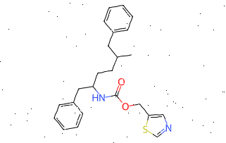 CC(CCC(Cc1ccccc1)NC(=O)OCc1cncs1)Cc1ccccc1